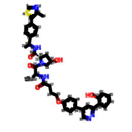 Cc1ncsc1-c1ccc(C(C)NC(=O)[C@@H]2C[C@@H](O)CN2C(=O)C(NC(=O)CCCOc2ccc(-c3cnnc(-c4ccccc4O)c3)cc2)C(C)(C)C)cc1